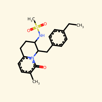 CCc1ccc(CC2C(NS(C)(=O)=O)CCc3ccc(C)c(=O)n32)cc1